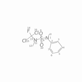 CN(c1ccccc1)S(=O)(=O)N(C)C(F)(Cl)Cl